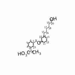 CC(C(=O)O)c1cccc(COc2cccc(CCCCCCO)c2)c1